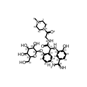 CN1CCN(C(=O)CNC(=O)C(Nc2cc(C(=N)N)ccc2O)c2ccccc2OC2OC(CO)C(O)C(O)C2O)CC1